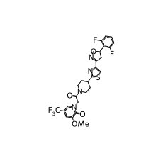 COc1cc(C(F)(F)F)cn(CC(=O)N2CCC(c3nc(C4=NOC(c5c(F)cccc5F)C4)cs3)CC2)c1=O